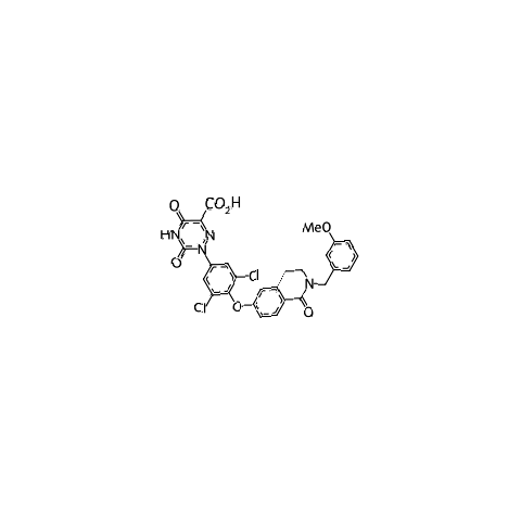 COc1cccc(CN2CCc3cc(Oc4c(Cl)cc(-n5nc(C(=O)O)c(=O)[nH]c5=O)cc4Cl)ccc3C2=O)c1